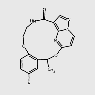 CC1Oc2ccn3ncc(c3n2)C(=O)NCCOc2ccc(F)cc21